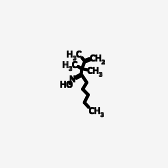 C=C(C)C(C)(C)C(CCCCC)=NO